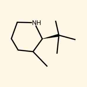 CC1CCCN[C@H]1C(C)(C)C